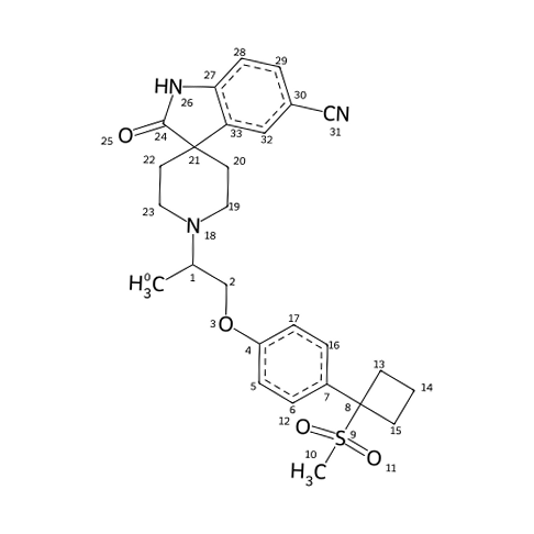 CC(COc1ccc(C2(S(C)(=O)=O)CCC2)cc1)N1CCC2(CC1)C(=O)Nc1ccc(C#N)cc12